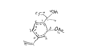 C=Cc1ccc(C(C)(O)C(F)(F)F)c(OC(C)=O)c1